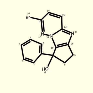 OC1(c2ccccc2)CCc2nc3ccc(Br)nn3c21